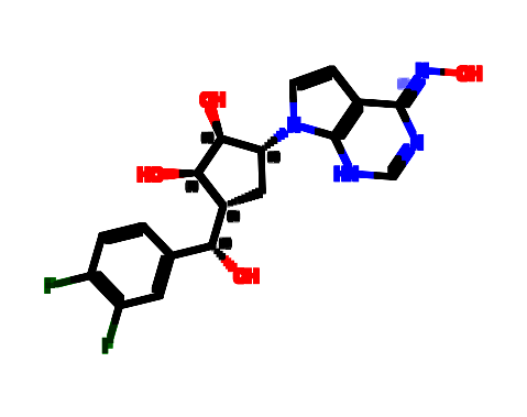 O/N=c1\nc[nH]c2c1ccn2[C@@H]1C[C@H]([C@H](O)c2ccc(F)c(F)c2)[C@@H](O)[C@H]1O